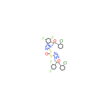 O=C(Sc1ncnn1CC1(c2ccc(F)cc2F)OC1c1ccccc1Cl)Sc1ncnn1CC1(c2ccc(F)cc2F)OC1c1ccccc1Cl